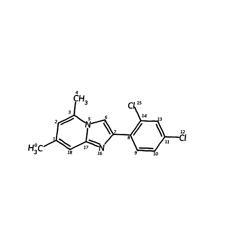 Cc1cc(C)n2[c]c(-c3ccc(Cl)cc3Cl)nc2c1